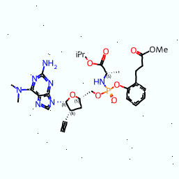 C#C[C@H]1C[C@@H](COP(=O)(N[C@@H](C)C(=O)OC(C)C)Oc2ccccc2CCC(=O)OC)O[C@H]1n1cnc2c(N(C)C)nc(N)nc21